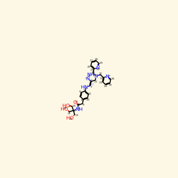 N=N/C(=C\Nc1ccc(CC(=O)NC(CO)(CO)CO)cc1)CN(Cc1ccccn1)Cc1ccccn1